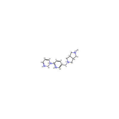 CN1CC2CN(Cc3ccc(N4C=CC=NC4)nc3)CC2C1